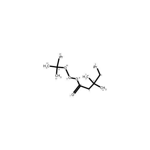 CC(C)CC(C)(C)CC(=O)OOOC(C)(C)C(C)C